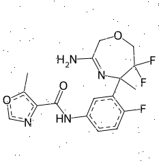 Cc1ocnc1C(=O)Nc1ccc(F)c(C2(C)N=C(N)COCC2(F)F)c1